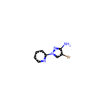 Nc1nn(-c2ccccn2)cc1Br